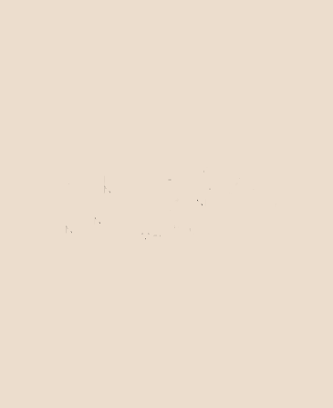 COC(=O)c1cc(CCNc2ncnc3ccsc23)ccc1NC(=O)c1ccc(Cl)cc1